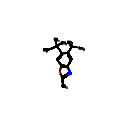 Cc1nc2cc(C(C)C)c(C(C)(C)C)cc2s1